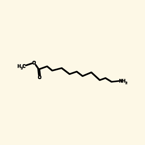 COC(=O)CCCCCCCCCCN